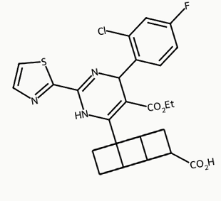 CCOC(=O)C1=C(C23C4C5C2C2C3C4C52C(=O)O)NC(c2nccs2)=NC1c1ccc(F)cc1Cl